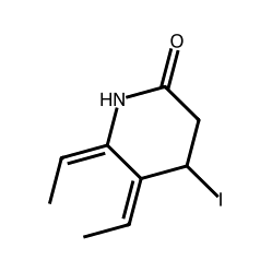 C/C=C1/NC(=O)CC(I)/C1=C/C